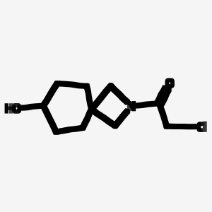 O=C(CCl)N1CC2(CCC(O)CC2)C1